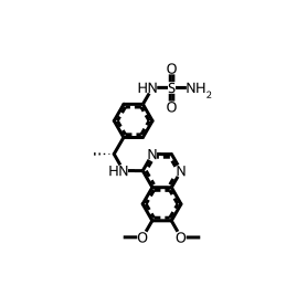 COc1cc2ncnc(N[C@H](C)c3ccc(NS(N)(=O)=O)cc3)c2cc1OC